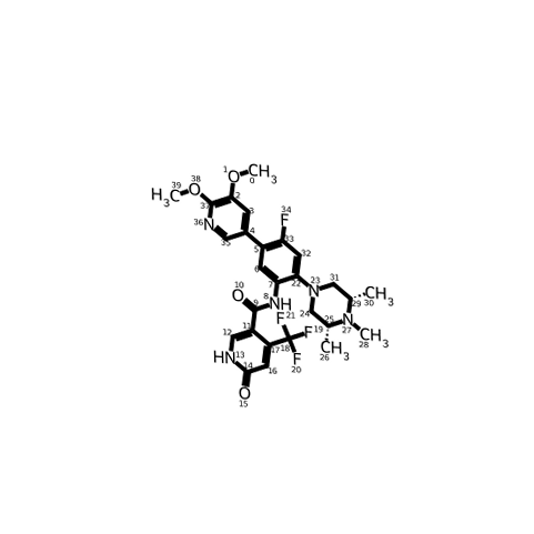 COc1cc(-c2cc(NC(=O)c3c[nH]c(=O)cc3C(F)(F)F)c(N3C[C@@H](C)N(C)[C@@H](C)C3)cc2F)cnc1OC